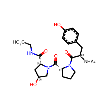 CC(=O)N[C@H](Cc1ccc(O)cc1)C(=O)N1CCC[C@@H]1C(=O)N1C[C@@H](O)C[C@@H]1C(=O)NCC(=O)O